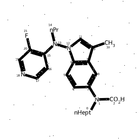 CCCCCCCN(C(=O)O)c1ccc2c(c1)c(C)cn2N(CCC)c1ccncc1F